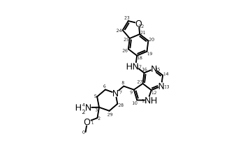 COCC1(N)CCN(Cc2c[nH]c3ncnc(Nc4ccc5occc5c4)c23)CC1